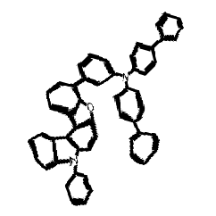 c1ccc(-c2ccc(N(c3ccc(-c4ccccc4)cc3)c3cccc(-c4cccc5c4oc4ccc6c(c7ccccc7n6-c6ccccc6)c45)c3)cc2)cc1